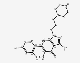 CCc1nn(CCCN2CCOCC2)c2[nH]c(-c3ccc(F)cc3F)c(O)c(=O)c12